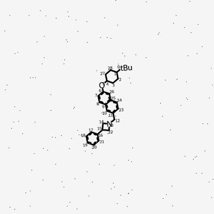 CC(C)(C)C1CCC(Oc2ccc3cc(CN4CC(c5ccccc5)C4)ccc3c2)CC1